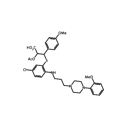 COc1ccc(C(Sc2cc(Cl)ccc2NCCCN2CCN(c3ccccc3OC)CC2)C(OC(C)=O)C(=O)O)cc1